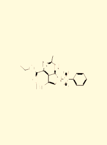 CCOC(=O)c1nc(C)nc2c1c(Br)cn2S(=O)(=O)c1ccccc1